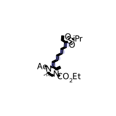 C=C\C(=C/C=C/C=C/C=C1\C(=C)N(C(=O)OCC)C[C@H](C)N1C(C)=O)S(=O)(=O)C(C)C